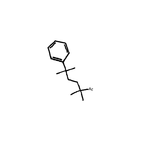 CC(=O)C(C)(C)CCC(C)(C)c1ccccc1